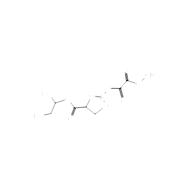 CCC(C)OC(=O)C1COB(OC(=O)C(=O)OC)O1